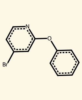 Brc1ccnc(Oc2ccccc2)c1